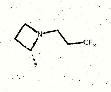 C[C@@H]1CCN1CCC(F)(F)F